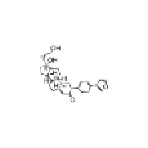 C[C@]12CC[C@H]3[C@@H](CCC4=CC(=O)C(c5ccc(-c6ccoc6)cc5)C[C@@H]43)[C@@H]1CC[C@@]2(O)/C=C\CO